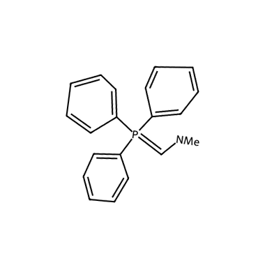 CNC=P(c1ccccc1)(c1ccccc1)c1ccccc1